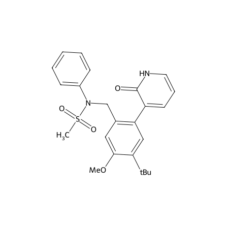 COc1cc(CN(c2ccccc2)S(C)(=O)=O)c(-c2ccc[nH]c2=O)cc1C(C)(C)C